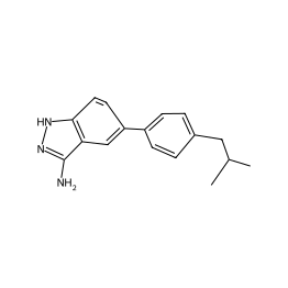 CC(C)Cc1ccc(-c2ccc3[nH]nc(N)c3c2)cc1